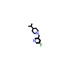 CC(C)C1CCN(Cc2cncc(F)c2)CC1